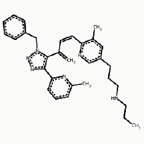 C=C(/C=C\c1ncc(CCCNCCC)cc1C)c1c(-c2cccc(C)n2)nnn1Cc1ccccc1